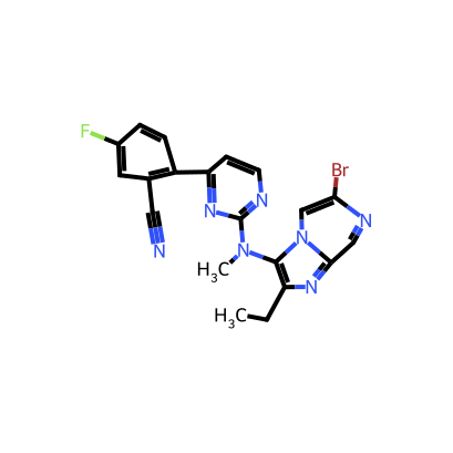 CCc1nc2cnc(Br)cn2c1N(C)c1nccc(-c2ccc(F)cc2C#N)n1